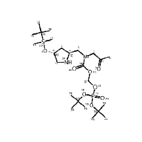 CC(=O)CN(C[C@@H]1C[C@@H](O[Si](C)(C)C(C)(C)C)CN1)C(=O)OCOP(=O)(OC(C)(C)C)OC(C)(C)C